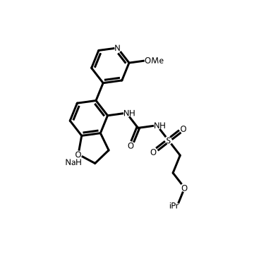 COc1cc(-c2ccc3c(c2NC(=O)NS(=O)(=O)CCOC(C)C)CCO3)ccn1.[NaH]